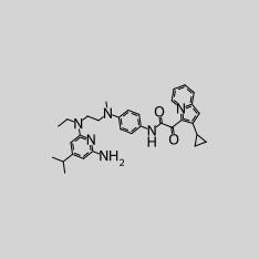 CCN(CCN(C)c1ccc(NC(=O)C(=O)c2c(C3CC3)cc3ccccn23)cc1)c1cc(C(C)C)cc(N)n1